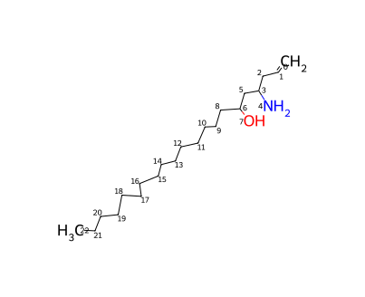 C=CCC(N)CC(O)CCCCCCCCCCCCCCC